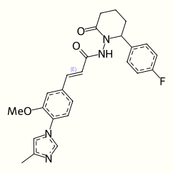 COc1cc(/C=C/C(=O)NN2C(=O)CCCC2c2ccc(F)cc2)ccc1-n1cnc(C)c1